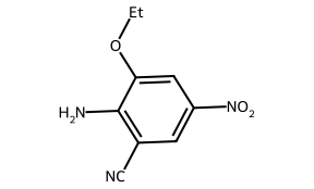 CCOc1cc([N+](=O)[O-])cc(C#N)c1N